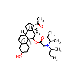 CCC(C)N(CC(=O)OC1C[C@]2(C)[C@@H](C(C)=O)CC[C@H]2[C@@H]2CCC3CC(O)CC[C@]3(C)[C@@H]12)C(C)CC